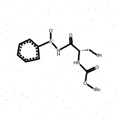 CC(C)C[C@H](NC(=O)OC(C)(C)C)C(=O)N[S+]([O-])c1ccccc1